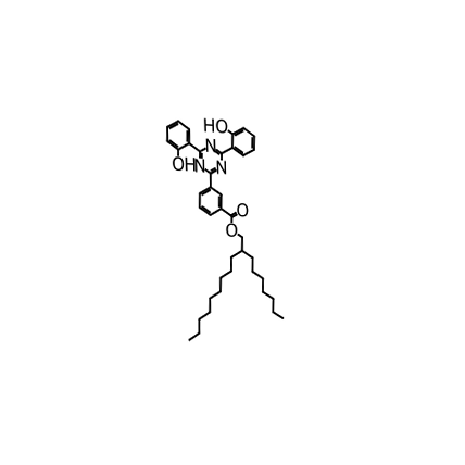 CCCCCCCCCC(CCCCCCC)COC(=O)c1cccc(-c2nc(-c3ccccc3O)nc(-c3ccccc3O)n2)c1